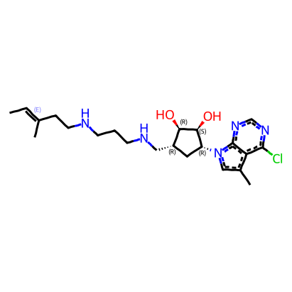 C/C=C(\C)CCNCCCNC[C@H]1C[C@@H](n2cc(C)c3c(Cl)ncnc32)[C@H](O)[C@@H]1O